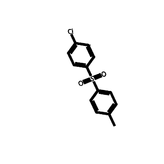 Cc1ccc(S(=O)(=O)c2c[c]c(Cl)cc2)cc1